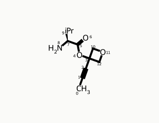 CC#CC1(OC(=O)[C@@H](N)C(C)C)COC1